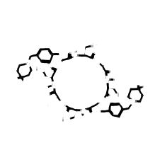 CC(C)C[C@H]1C(=O)O[C@H](Cc2ccc(CN3CCC(F)(F)CC3)cc2)C(=O)N(C)[C@@H](CC(C)C)C(=O)O[C@H](C)C(=O)N(C)[C@@H](CC(C)C)C(=O)O[C@H](Cc2ccc(CN3CCC(F)(F)CC3)cc2)C(=O)N(C)[C@@H](CC(C)C)C(=O)O[C@H](C)C(=O)N1C